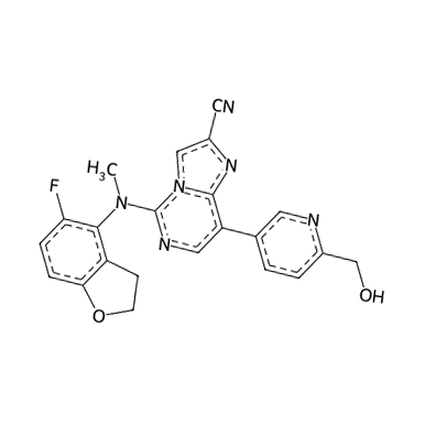 CN(c1c(F)ccc2c1CCO2)c1ncc(-c2ccc(CO)nc2)c2nc(C#N)cn12